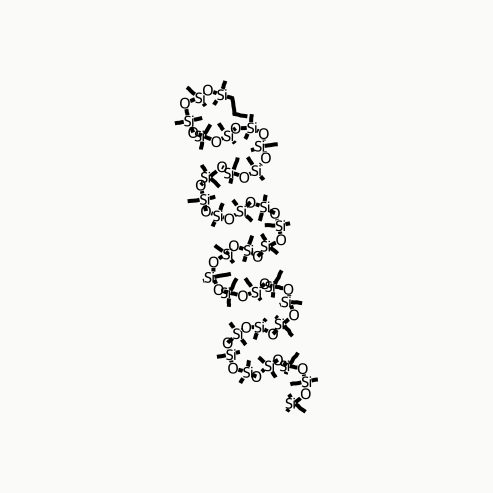 CCC[Si](C)(C)O[Si](C)(C)O[Si](C)(C)O[Si](C)(C)O[Si](C)(C)O[Si](C)(C)O[Si](C)(C)O[Si](C)(C)O[Si](C)(C)O[Si](C)(C)O[Si](C)(C)O[Si](C)(C)O[Si](C)(C)O[Si](C)(C)O[Si](C)(C)O[Si](C)(C)O[Si](C)(C)O[Si](C)(C)O[Si](C)(C)O[Si](C)(C)O[Si](C)(C)O[Si](C)(C)O[Si](C)(C)O[Si](C)(C)O[Si](C)(C)O[Si](C)(C)O[Si](C)(C)O[Si](C)(C)O[Si](C)(C)O[Si](C)(C)O[Si](C)(C)O[Si](C)(C)C